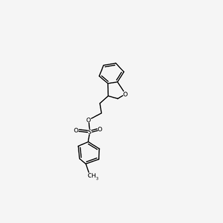 Cc1ccc(S(=O)(=O)OCCC2COc3ccccc32)cc1